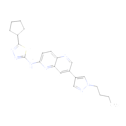 COCCCn1cc(-c2cnc3ccc(Nc4nnc(C5CCCC5)s4)nc3c2)cn1